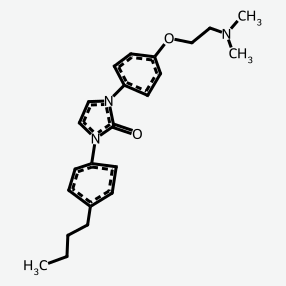 CCCCc1ccc(-n2ccn(-c3ccc(OCCN(C)C)cc3)c2=O)cc1